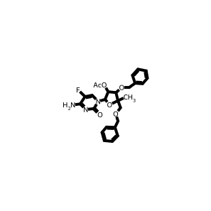 CC(=O)OC1C(n2cc(F)c(N)nc2=O)OC(C)(COCc2ccccc2)C1OCc1ccccc1